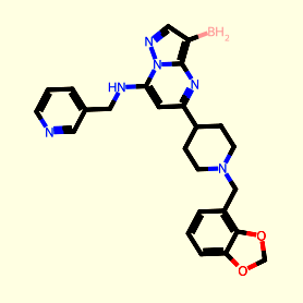 Bc1cnn2c(NCc3cccnc3)cc(C3CCN(Cc4cccc5c4OCO5)CC3)nc12